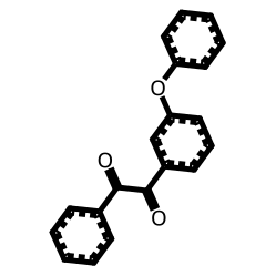 O=C(C(=O)c1cccc(Oc2ccccc2)c1)c1ccccc1